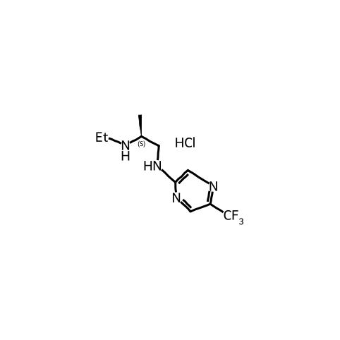 CCN[C@@H](C)CNc1cnc(C(F)(F)F)cn1.Cl